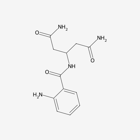 NC(=O)CC(CC(N)=O)NC(=O)c1ccccc1N